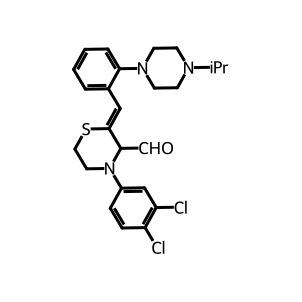 CC(C)N1CCN(c2ccccc2C=C2SCCN(c3ccc(Cl)c(Cl)c3)C2C=O)CC1